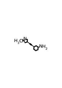 Cn1cc(C#Cc2cccc(N)c2)cn1